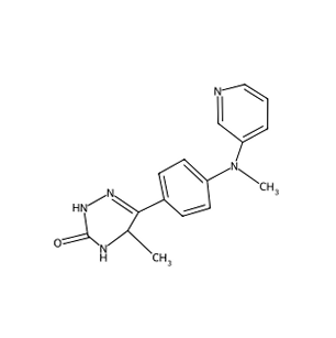 CC1NC(=O)NN=C1c1ccc(N(C)c2cccnc2)cc1